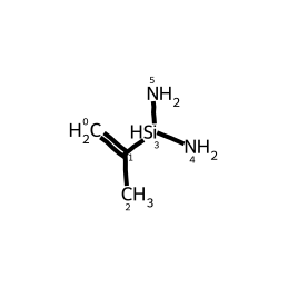 C=C(C)[SiH](N)N